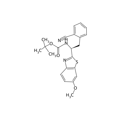 COc1ccc2nc([C@H](Cc3ccccc3C#N)NC(=O)OC(C)(C)C)sc2c1